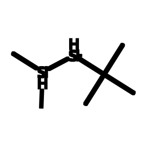 C[SiH](C)[SiH]C(C)(C)C